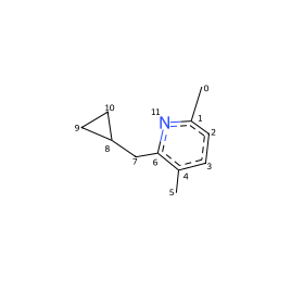 Cc1ccc(C)c(CC2CC2)n1